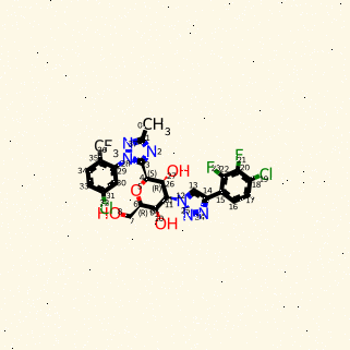 Cc1nc([C@@H]2O[C@H](CO)[C@H](O)[C@H](n3cc(-c4ccc(Cl)c(F)c4F)nn3)[C@H]2O)n(-c2cc(Cl)ccc2C(F)(F)F)n1